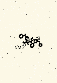 C=CC1C(C2C(C)=C(C(=C)OCNC)c3cc(C(C)C4CCCCC4)cc[n+]32)c2ccccc2-c2cc(CC3CCCC3)c([Si](C)(C)C)c[n+]21